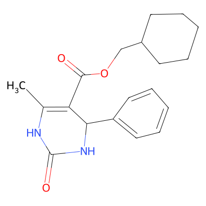 CC1=C(C(=O)OCC2CCCCC2)C(c2ccccc2)NC(=O)N1